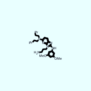 COc1cc(Nc2nc3ccc(N(CCC(C)C)CCC(C)C)nc3n2CCCN)cc(OC)c1